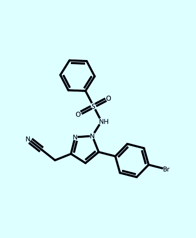 N#CCc1cc(-c2ccc(Br)cc2)n(NS(=O)(=O)c2ccccc2)n1